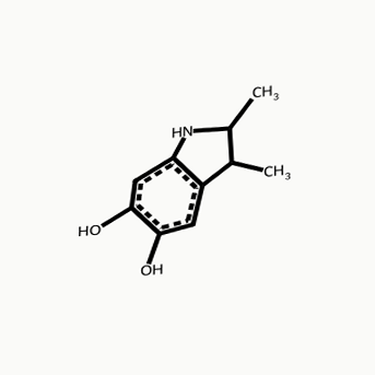 CC1Nc2cc(O)c(O)cc2C1C